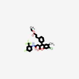 CCOC(=O)/C=C/c1cccc(-c2c(CC(=O)Nc3ccc(F)cc3C(F)(F)F)c(=O)oc3cc(Cl)c(C)cc23)c1